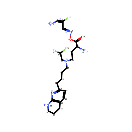 N/C=C(F)\C=N\OC(=O)C(N)CCN(CCCCc1ccc2c(n1)NCCC2)CC(F)F